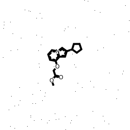 COC(=O)COc1cccn2cc(C3CCCC3)cc12